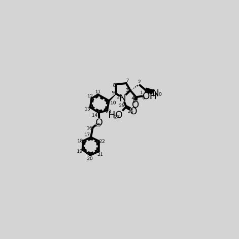 N#CC[C@@]1(C(=O)O)CC[C@H](c2cccc(OCc3ccccc3)c2)N1C(=O)O